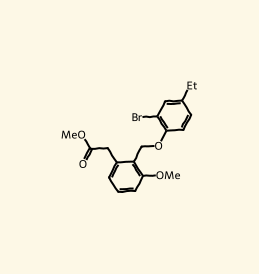 CCc1ccc(OCc2c(CC(=O)OC)cccc2OC)c(Br)c1